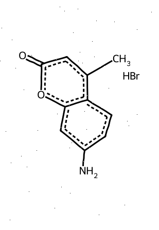 Br.Cc1cc(=O)oc2cc(N)ccc12